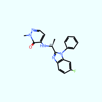 C[C@H](Nc1ccnn(C)c1=O)c1nc2ccc(F)cc2n1-c1ccccc1